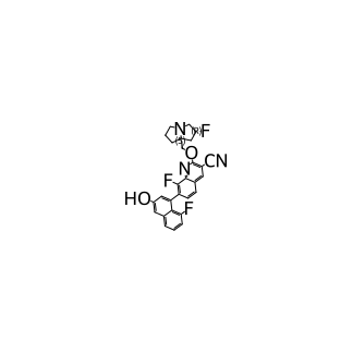 N#Cc1cc2ccc(-c3cc(O)cc4cccc(F)c34)c(F)c2nc1OC[C@@]12CCCN1C[C@H](F)C2